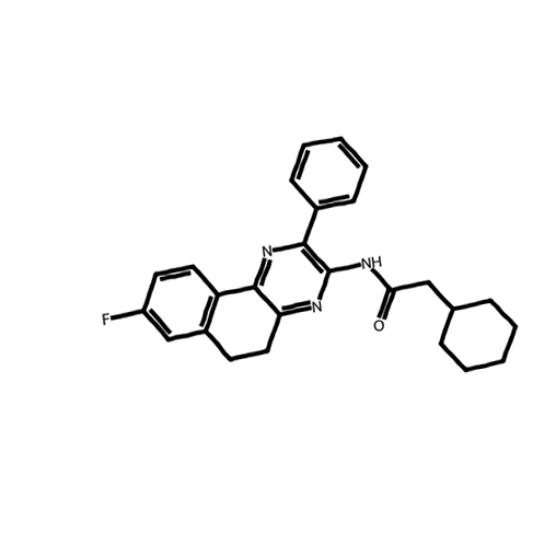 O=C(CC1CCCCC1)Nc1nc2c(nc1-c1ccccc1)-c1ccc(F)cc1CC2